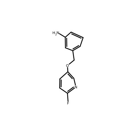 Nc1cccc(COc2ccc(F)nc2)c1